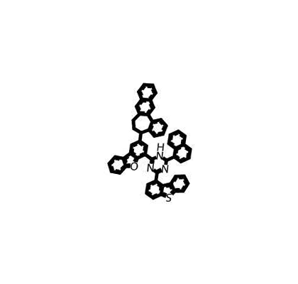 c1ccc2c(c1)-c1cc3ccccc3cc1CCC2c1cc(C2=NC(c3cccc4sc5ccccc5c34)=NC(c3cccc4ccccc34)N2)c2oc3ccccc3c2c1